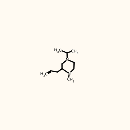 C=CCC1CN(C(C)C)CCN1C